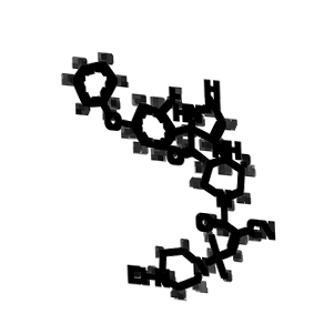 CCN1CCN(C(C)(C)C=C(C#N)C(=O)N2CCC[C@H](C(=O)C3(c4ccc(Oc5ccccc5)cc4F)NNC=C3N)C2)CC1